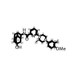 COc1ccc(N2CCN(c3cccc(C(=O)NC4C5CC6CC4CC(O)(C6)C5)n3)[C@H](C)C2)cc1F